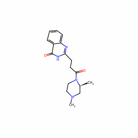 C[C@H]1CN(C)CCN1C(=O)CCc1nc2ccccc2c(=O)[nH]1